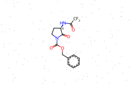 O=C(OCc1ccccc1)N1CC[C@@H](NC(=O)C(F)(F)F)C1=O